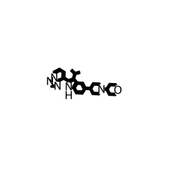 CC(C)c1c(-c2cccn3ncnc23)[nH]c2ccc(C3CCN(C4CCOCC4)CC3)cc12